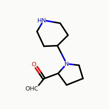 O=CC(=O)C1CCCN1C1CCNCC1